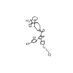 Cn1c(C(=O)N2CCC(C(N)=O)(N3CCCCC3)CC2)cc(-c2ccc(Cl)cc2Cl)c1-c1ccc(OCCCCl)cc1